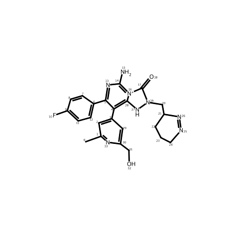 Cc1cc(-c2c(-c3ccc(F)cc3)nc(N)[n+]3c(=O)n(CC4CCCN=N4)[nH]c23)cc(CO)n1